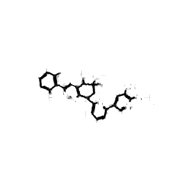 CCC1c2cc(-c3c(F)cccc3F)nnc2[C@](C)(c2cccc(-c3cnc(N)c(C#N)c3)n2)CC1(C)C